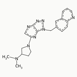 CN(C)C1CCN(c2cnc3nnn(Cc4ccc5ncccc5c4)c3n2)C1